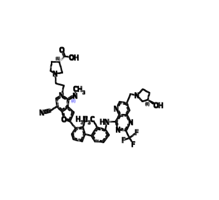 C/N=c1/c2cc(-c3cccc(-c4cccc(Nc5nc(C(F)(F)F)nc6cc(CN7CC[C@@H](O)C7)cnc56)c4C)c3C)oc2c(C#N)cn1CCN1CC[C@H](C(=O)O)C1